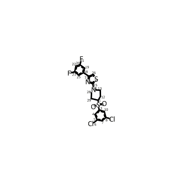 O=S(=O)(c1cc(Cl)cc(Cl)c1)C1CCN(c2nc(-c3cc(F)cc(F)c3)cs2)CC1